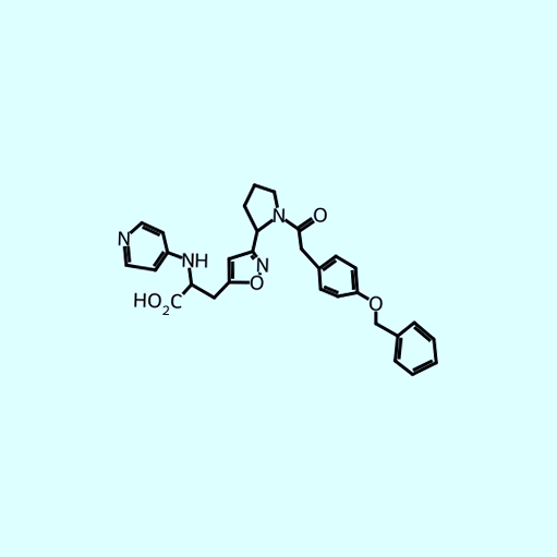 O=C(O)C(Cc1cc(C2CCCN2C(=O)Cc2ccc(OCc3ccccc3)cc2)no1)Nc1ccncc1